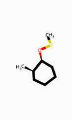 CSO[C@H]1CCCC[C@H]1C